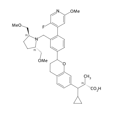 COC[C@@H]1CC[C@@H](COC)N1Cc1cc(C2CCc3ccc(C(C4CC4)[C@H](C)C(=O)O)cc3O2)ccc1-c1cc(OC)ncc1F